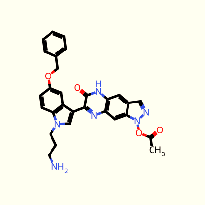 CC(=O)On1ncc2cc3[nH]c(=O)c(-c4cn(CCCN)c5ccc(OCc6ccccc6)cc45)nc3cc21